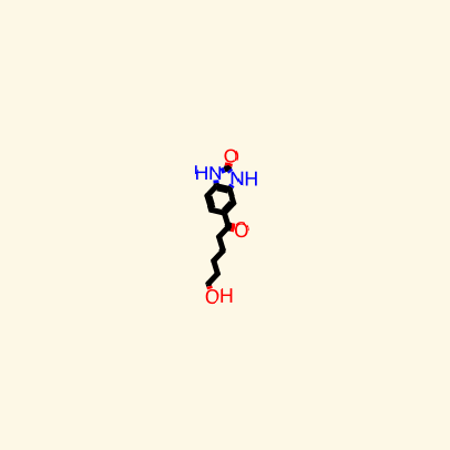 O=C(CCCCCO)c1ccc2[nH]c(=O)[nH]c2c1